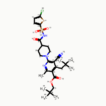 Cc1nc(N2CCC(C(=O)NS(=O)(=O)c3ccc(Cl)s3)CC2)c(C#N)c(CC(C)(C)C)c1C(=O)OCC(C)(C)C